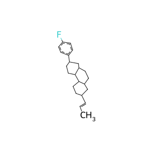 C/C=C/C1CCC2C(CCC3CC(c4ccc(F)cc4)CCC32)C1